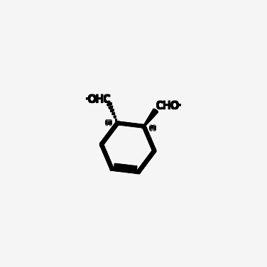 O=[C][C@H]1CC=CC[C@@H]1[C]=O